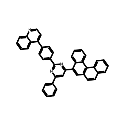 c1ccc(-c2cc(-c3cc4ccc5ccccc5c4c4ccccc34)nc(-c3ccc(-c4ccnc5ccccc45)cc3)n2)cc1